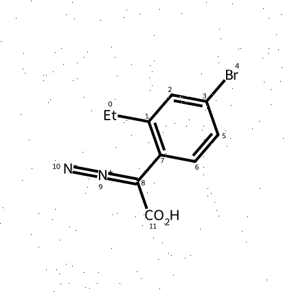 CCc1cc(Br)ccc1C(=[N+]=[N-])C(=O)O